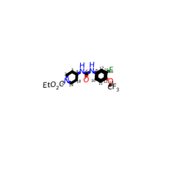 CCOC(=O)N1CCC(NC(=O)Nc2ccc(OC(F)(F)F)c(F)c2)CC1